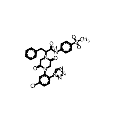 CS(=O)(=O)c1ccc(NC(=O)C(Cc2ccccc2)N2CC(=O)N(c3cc(Cl)ccc3-n3cnnn3)CC2=O)cc1